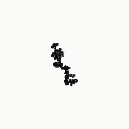 Cc1c(-c2ccc(N3CCc4cccc(C(=O)Nc5nc6ccccc6s5)c4C3)nc2C(=O)O)cnn1CC12CC3(C)CC(C)(C1)CC(OCCN(CCP(=O)(O)O)C(=O)OCc1ccc(N(C(=O)[C@@H](NC(=O)CCCCCN4C(=O)C=CC4=O)C(C)C)[C@@H](CCCNC(N)=O)C(N)=O)cc1)(C3)C2